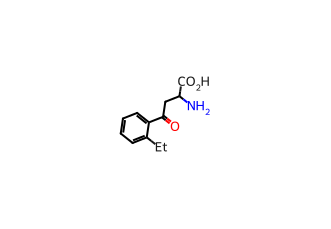 CCc1ccccc1C(=O)CC(N)C(=O)O